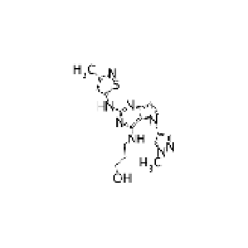 Cc1cc(Nc2nc(NCCCO)c3c(ccn3-c3cnn(C)c3)n2)sn1